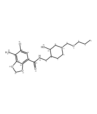 CCCOCN1CCC(CNC(=O)c2cc(Cl)c(N)c3c2OCO3)C(O)C1